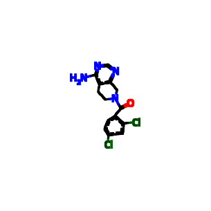 Nc1ncnc2c1CCN(C(=O)c1ccc(Cl)cc1Cl)C2